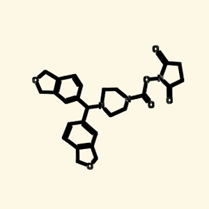 O=C(ON1C(=O)CCC1=O)N1CCN(C(c2ccc3c(c2)COC3)c2ccc3c(c2)COC3)CC1